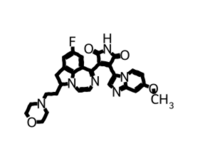 COc1ccn2c(C3=C(C4=NC=CN5c6c(cc(F)cc64)CC5CCN4CCOCC4)C(=O)NC3=O)cnc2c1